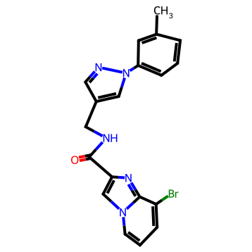 Cc1cccc(-n2cc(CNC(=O)c3cn4cccc(Br)c4n3)cn2)c1